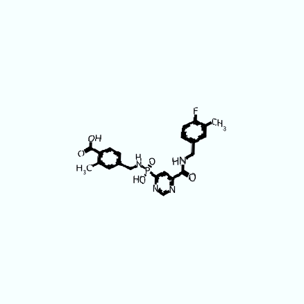 Cc1cc(CNC(=O)c2cc(P(=O)(O)NCc3ccc(C(=O)O)c(C)c3)ncn2)ccc1F